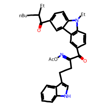 CCCCC(CC)C(=O)c1ccc2c(c1)c1cc(C(=O)C(CCc3c[nH]c4ccccc34)=NOC(C)=O)ccc1n2CC